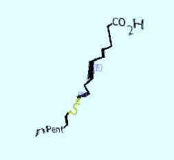 CCCCCC=CS/C=C/C/C=C/CCCCC(=O)O